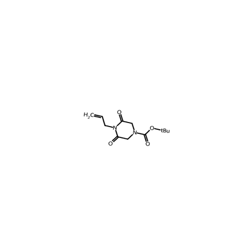 C=CCN1C(=O)CN(C(=O)OC(C)(C)C)CC1=O